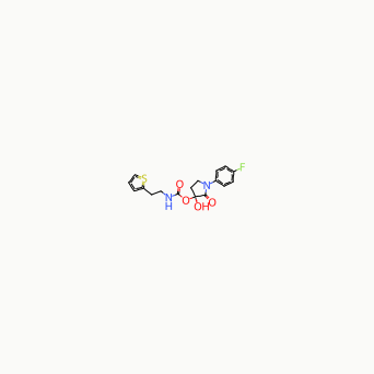 O=C(NCCc1cccs1)O[C@]1(O)CCN(c2ccc(F)cc2)C1=O